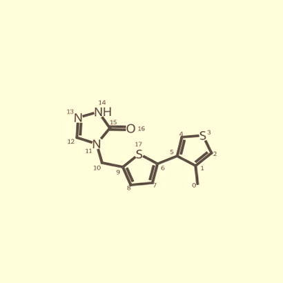 Cc1cscc1-c1ccc(Cn2cn[nH]c2=O)s1